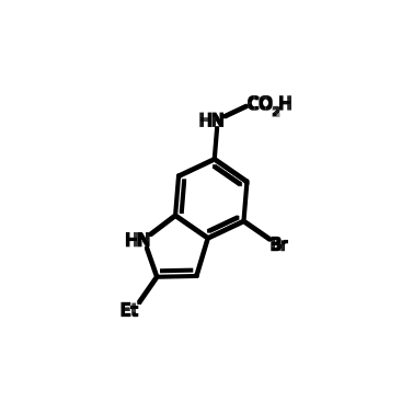 CCc1cc2c(Br)cc(NC(=O)O)cc2[nH]1